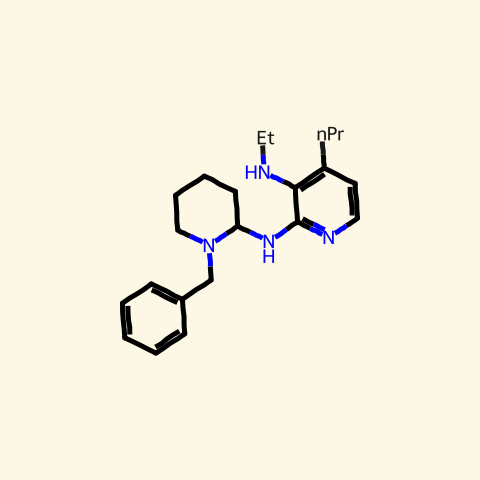 CCCc1ccnc(NC2CCCCN2Cc2ccccc2)c1NCC